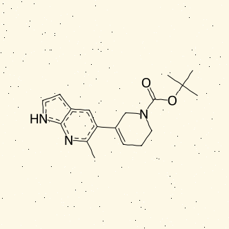 Cc1nc2[nH]ccc2cc1C1=CCCN(C(=O)OC(C)(C)C)C1